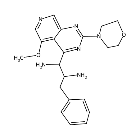 COc1cncc2nc(N3CCOCC3)nc(C(N)C(N)Cc3ccccc3)c12